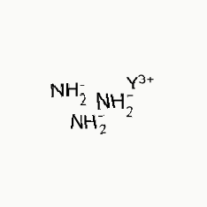 [NH2-].[NH2-].[NH2-].[Y+3]